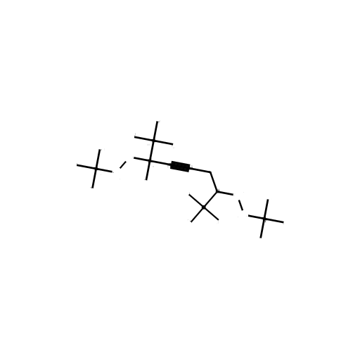 CC(C)(C)OOC(CC#CC(C)(OOC(C)(C)C)C(C)(C)C)C(C)(C)C